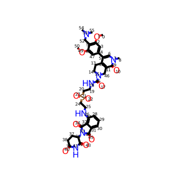 COc1cc(-c2cn(C)c(=O)c3c2CCN(C(=O)NCCS(=O)(=O)CCNc2cccc4c2C(=O)N(C2CCC(=O)NC2=O)C4=O)C3)cc(OC)c1CN(C)C